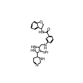 CCCN1C(CNc2cccc(C(=O)N[C@@H]3COc4ccccc43)c2)NNC1C1CC=NCN1